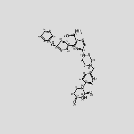 NC(=O)c1ccc(N2CCN(Cc3ccc(N4CCC(=O)NC4=O)cn3)CC2)nc1-c1ccc(Oc2ccccc2)cc1